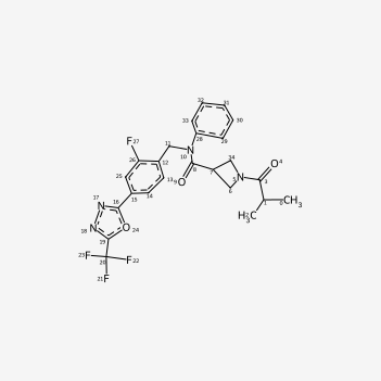 CC(C)C(=O)N1CC(C(=O)N(Cc2ccc(-c3nnc(C(F)(F)F)o3)cc2F)c2ccccc2)C1